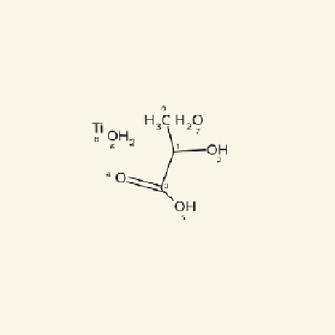 CC(O)C(=O)O.O.O.[Ti]